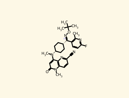 Cc1nc(F)ccc1/C(=N\OC(C)(C)C)[C@H]1CC[C@@H](N(C)c2cc(=O)n(C)c3ccc(C#N)nc23)CC1